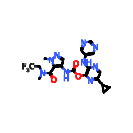 CN(CC(F)(F)F)C(=O)c1c(NC(=O)Oc2nc(C3CC3)cnc2Nc2cncnc2)cnn1C